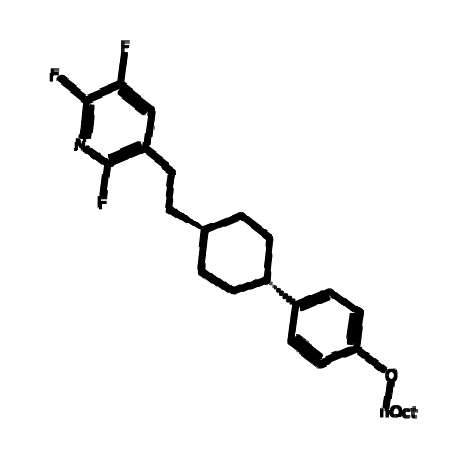 CCCCCCCCOc1ccc([C@H]2CC[C@H](CCc3cc(F)c(F)nc3F)CC2)cc1